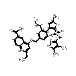 CCc1cc(OCc2ccc(-c3cc(C)sc3S(=O)(=O)Nc3noc(C)c3C)c(COC)c2)c2cc(C(=O)O)ccc2n1